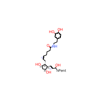 CCCCCC(O)/C=C/[C@@H]1[C@@H](C/C=C\CCCC(=O)NCCc2ccc(O)c(O)c2)[C@@H](O)C[C@H]1O